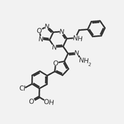 NN=C(c1ccc(-c2ccc(Cl)c(C(=O)O)c2)o1)c1nc2nonc2nc1NCc1ccccc1